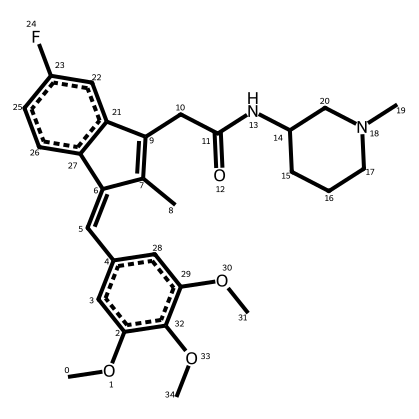 COc1cc(C=C2C(C)=C(CC(=O)NC3CCCN(C)C3)c3cc(F)ccc32)cc(OC)c1OC